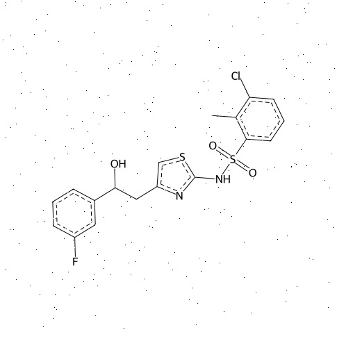 Cc1c(Cl)cccc1S(=O)(=O)Nc1nc(CC(O)c2cccc(F)c2)cs1